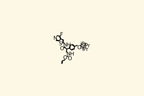 C=CCOC(=O)NCC(C(=O)Nc1cc2c(F)cncc2s1)c1ccc(CO[Si](C(C)C)(C(C)C)C(C)C)cc1